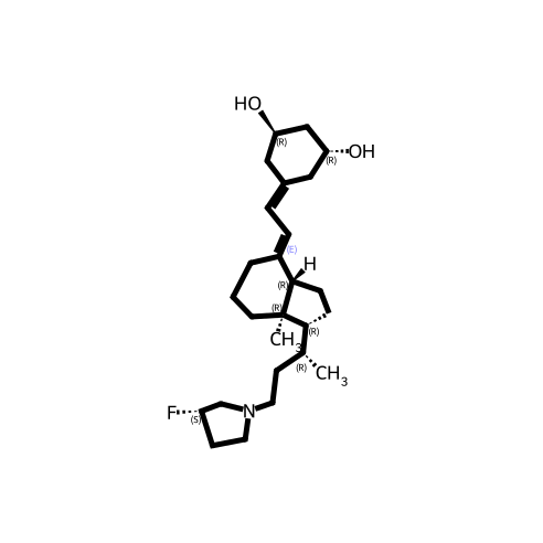 C[C@H](CCN1CC[C@H](F)C1)[C@H]1CC[C@H]2/C(=C/C=C3C[C@@H](O)C[C@H](O)C3)CCC[C@]12C